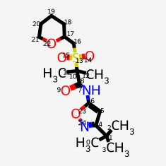 CC(C)(C)c1cc(NC(=O)C(C)(C)S(=O)(=O)CC2CCCCO2)on1